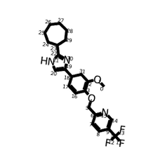 COC1=C(OCc2ccc(C(F)(F)F)cn2)C=CC(c2c[nH]c(C3CCCCCC3)n2)C1